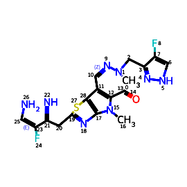 CN(Cc1n[nH]cc1F)/N=C\c1c(C=O)n(C)c2nc(CC(=N)/C(F)=C\N)sc12